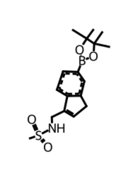 CC1(C)OB(c2ccc3c(c2)CC=C3CNS(C)(=O)=O)OC1(C)C